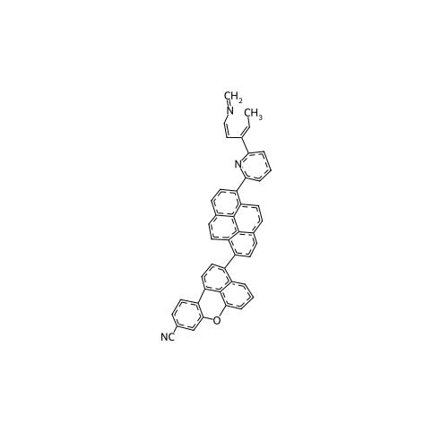 C=N/C=C\C(=C/C)c1cccc(-c2ccc3ccc4c(-c5ccc6c7c(cccc57)Oc5cc(C#N)ccc5-6)ccc5ccc2c3c54)n1